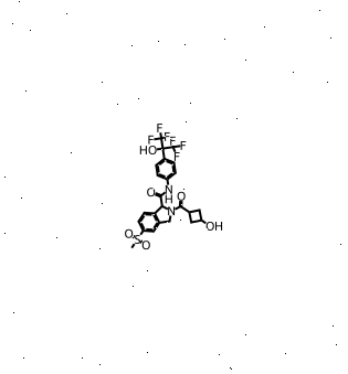 CS(=O)(=O)c1ccc2c(c1)CN(C(=O)C1CC(O)C1)C2C(=O)Nc1ccc(C(O)(C(F)(F)F)C(F)(F)F)cc1